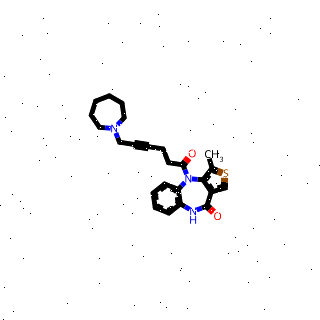 Cc1scc2c1N(C(=O)CCC#CCN1CCCCCC1)c1ccccc1NC2=O